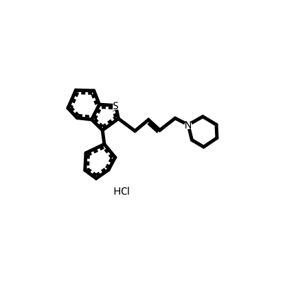 C(=CCN1CCCCC1)Cc1sc2ccccc2c1-c1ccccc1.Cl